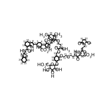 Cc1c(-c2ccc(-c3cc4cccc(C(=O)Nc5nc6ccccc6s5)c4[nH]3)nc2C(=O)O)cnn1CC12CC3(C)CC(C)(C1)CC(OCCN(C)C(=O)OCc1ccc(O[C@@H]4O[C@H](C(=O)O)[C@@H](O)[C@H](O)[C@H]4O)cc1OCCOCCNC(=O)[C@H](CS(=O)(=O)O)NC(=O)CCN1C(=O)C=CC1=O)(C3)C2